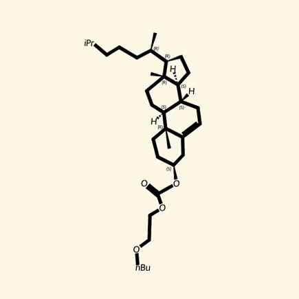 CCCCOCCOC(=O)O[C@H]1CC[C@@]2(C)C(=CC[C@H]3[C@@H]4CC[C@H]([C@H](C)CCCC(C)C)[C@@]4(C)CC[C@@H]32)C1